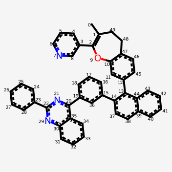 CC1=C(c2cccnc2)Oc2cc(-c3c(-c4cccc(-c5nc(-c6ccccc6)nc6ccccc56)c4)ccc4ccccc34)ccc2CC1